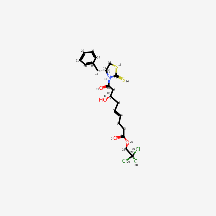 O=C(CCC=CC[C@@H](O)CC(=O)N1C(=S)SC[C@H]1Cc1ccccc1)OCC(Cl)(Cl)Cl